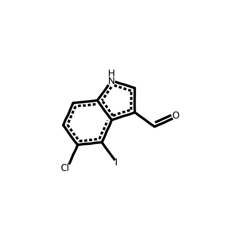 O=Cc1c[nH]c2ccc(Cl)c(I)c12